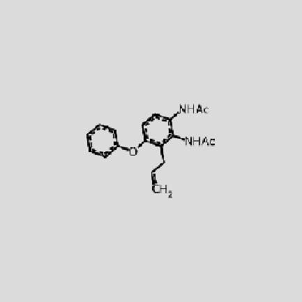 C=CCc1c(Oc2ccccc2)ccc(NC(C)=O)c1NC(C)=O